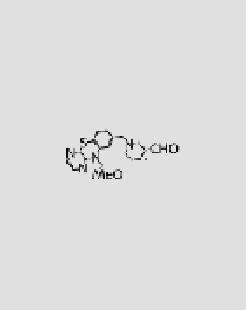 COCN1c2cc(CN3CC[CH][C](C=O)C3)ccc2Sc2nccnc21